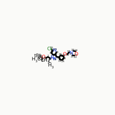 CC(CCO[Si](C)(C)C(C)(C)C)n1nc(-c2cccc(OCCN3CCOCC3)c2)c2cnc(Cl)cc21